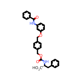 O=C(N[C@H](Cc1ccccc1)C(=O)O)OCc1ccc(COc2cccc(NC(=O)c3ccccc3)c2)cc1